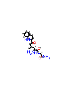 CC(CC(=O)C1CCc2ccccc2N1)C[C@H](N)C(=O)NCC(N)=O